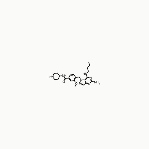 CCCCNc1nc(N)nc2cnn(Cc3ccc(C(=O)NC4CCN(C)CC4)cc3OC)c12